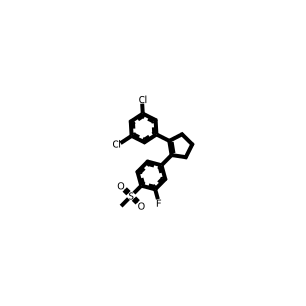 CS(=O)(=O)c1ccc(C2=C(c3cc(Cl)cc(Cl)c3)CCC2)cc1F